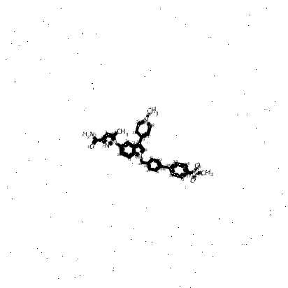 Cc1cc(C(N)=O)nn1-c1ccc2c(c1)c(C1=CCN(C)CC1)cn2Cc1ccc(-c2ccc(S(C)(=O)=O)cc2)cc1